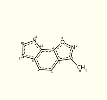 Cc1noc2c1ccc1scnc12